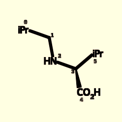 CC(C)CN[C@H](C(=O)O)C(C)C